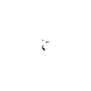 C=C[SiH](C)N